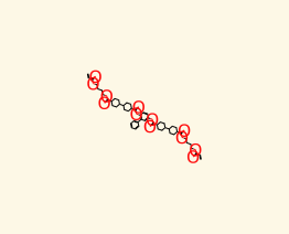 C=CC(=O)OCCCCOC(=O)C1CCC(C2CCC(C(=O)Oc3ccc(OC(=O)C4CCC(C5CCC(C(=O)OCCCCOC(=O)C=C)CC5)CC4)c(-c4ccccc4)c3)CC2)CC1